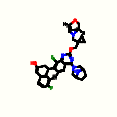 CCc1c(F)ccc2c1C(c1c(C(C)C)cc3c(N4CC5CCC(C4)N5)nc(OCC4(CN5C[C@H]6C[C@@H]5CO6)CC4)nc3c1F)CC(O)=C2